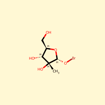 C[C@]1(O)[C@@H](OBr)O[C@H](CO)[C@H]1O